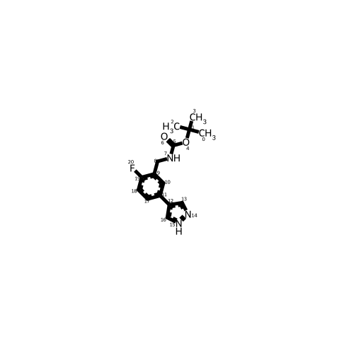 CC(C)(C)OC(=O)NCc1cc(-c2cn[nH]c2)ccc1F